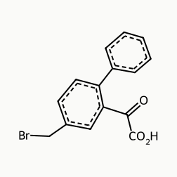 O=C(O)C(=O)c1cc(CBr)ccc1-c1ccccc1